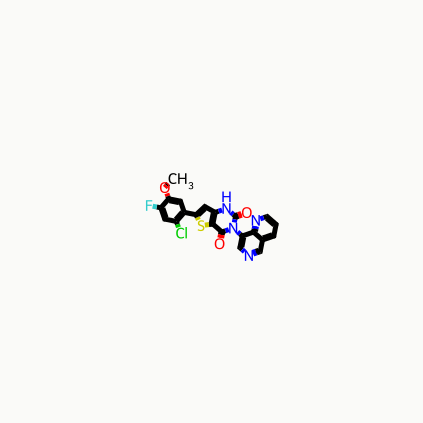 COc1cc(-c2cc3[nH]c(=O)n(-c4cncc5cccnc45)c(=O)c3s2)c(Cl)cc1F